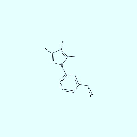 Cc1nn(-c2cccc(C=O)c2)c(C)c1C